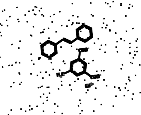 C(=Cc1cccnc1)c1cccnc1.Cc1cc(C(=O)[O-])cc(C(=O)[O-])c1.[Cd+2]